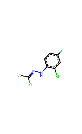 CCC(Cl)=NNc1ccc(F)cc1Cl